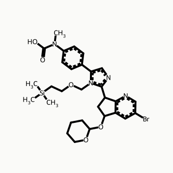 CN(C(=O)O)c1ccc(-c2cnc(C3CC(OC4CCCCO4)c4cc(Br)cnc43)n2COCC[Si](C)(C)C)cc1